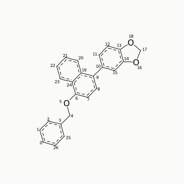 c1ccc(COc2ccc(-c3ccc4c(c3)OCO4)c3ccccc23)cc1